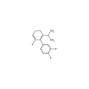 CC(C)C1=C(c2ccc(F)c(F)c2)C(F)=CC[CH]1